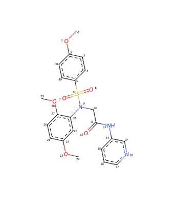 COc1ccc(S(=O)(=O)N(CC(=O)Nc2cccnc2)c2cc(OC)ccc2OC)cc1